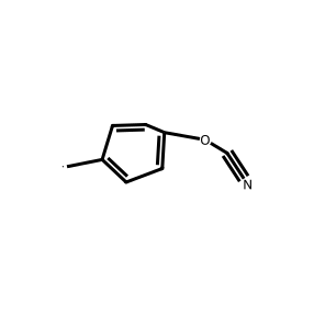 [CH2]c1ccc(OC#N)cc1